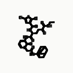 CCNC(=O)C(=O)CC[C@H](NC(=O)c1cc(Cl)sc1Cl)C(=O)Nc1cccn(CC(=O)NC2C3CC4CC(C3)CC2C4)c1=O